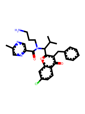 Cc1cnc(C(=O)N(CCCN)C(c2oc3cc(Cl)ccc3c(=O)c2Cc2ccccc2)C(C)C)cn1